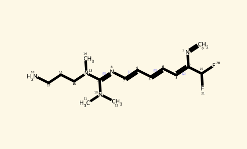 C=N\C(=C/C=C/C=C/N=C(\N(C)C)N(C)CCCN)C(F)F